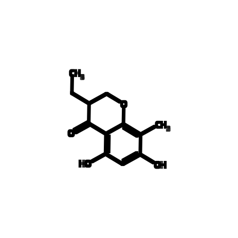 CCC1COc2c(C)c(O)cc(O)c2C1=O